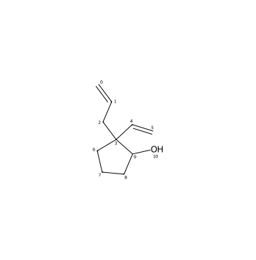 C=CCC1(C=C)CCCC1O